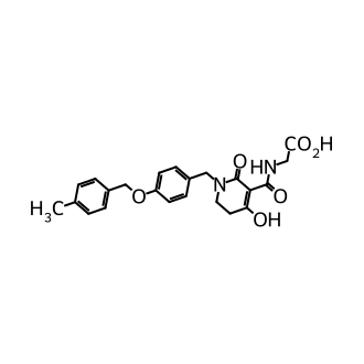 Cc1ccc(COc2ccc(CN3CCC(O)=C(C(=O)NCC(=O)O)C3=O)cc2)cc1